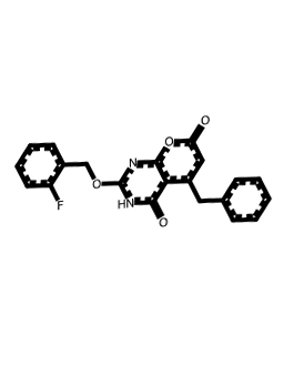 O=c1cc(Cc2ccccc2)c2c(=O)[nH]c(OCc3ccccc3F)nc2o1